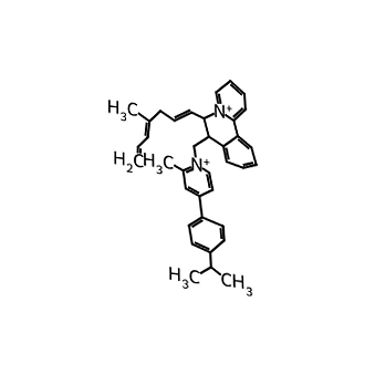 C=CC=C(C)C/C=C/C1C(C[n+]2ccc(-c3ccc(C(C)C)cc3)cc2C)c2ccccc2-c2cccc[n+]21